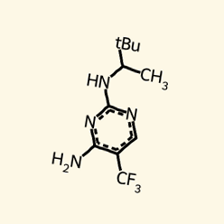 CC(Nc1ncc(C(F)(F)F)c(N)n1)C(C)(C)C